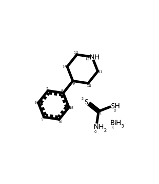 NC(=S)S.[BiH3].c1ccc(C2CCNCC2)cc1